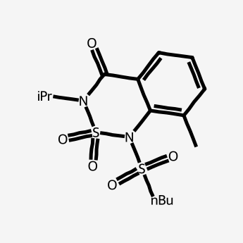 CCCCS(=O)(=O)N1c2c(C)cccc2C(=O)N(C(C)C)S1(=O)=O